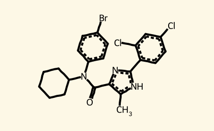 Cc1[nH]c(-c2ccc(Cl)cc2Cl)nc1C(=O)N(c1ccc(Br)cc1)C1CCCCC1